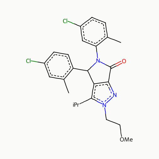 COCCn1nc2c(c1C(C)C)C(c1ccc(Cl)cc1C)N(c1cc(Cl)ccc1C)C2=O